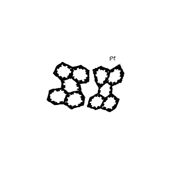 [Pt].c1cc2cccc3c4cccc5cccc(c(c1)c23)c54.c1cc2cccc3c4cccc5cccc(c(c1)c23)c54